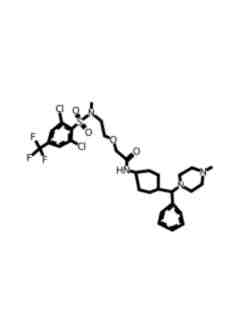 CN1CCN(C(c2ccccc2)C2CCC(NC(=O)COCCN(C)S(=O)(=O)c3c(Cl)cc(C(F)(F)F)cc3Cl)CC2)CC1